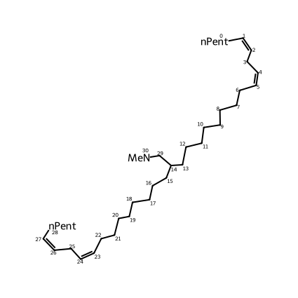 CCCCC/C=C\C/C=C\CCCCCCCCC(CCCCCCCC/C=C\C/C=C\CCCCC)CNC